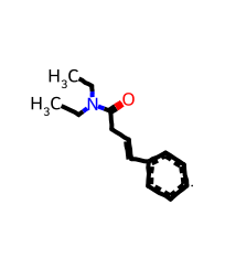 CCN(CC)C(=O)C/C=C/c1cc[c]cc1